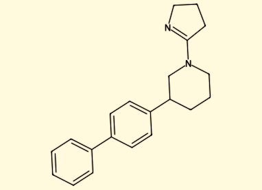 c1ccc(-c2ccc(C3CCCN(C4=NCCC4)C3)cc2)cc1